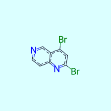 Brc1cc(Br)c2cnccc2n1